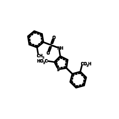 Cc1ccccc1S(=O)(=O)Nc1cc(-c2ccccc2C(=O)O)sc1C(=O)O